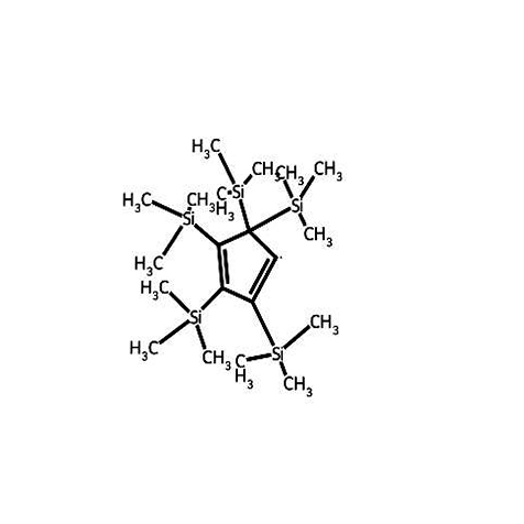 C[Si](C)(C)C1=[C]C([Si](C)(C)C)([Si](C)(C)C)C([Si](C)(C)C)=C1[Si](C)(C)C